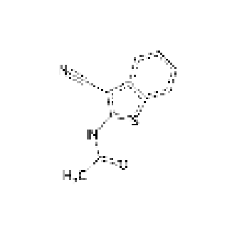 CC(=O)Nc1sc2ccccc2c1C#N